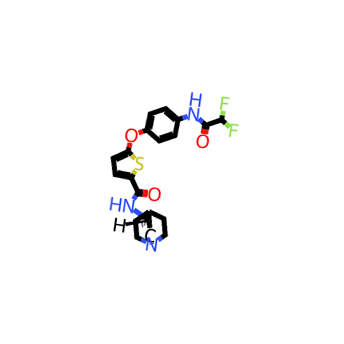 O=C(N[C@H]1CN2CCC1CC2)c1ccc(Oc2ccc(NC(=O)C(F)F)cc2)s1